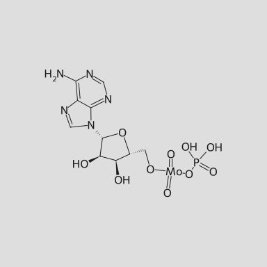 Nc1ncnc2c1ncn2[C@@H]1O[C@H](C[O][Mo](=[O])(=[O])[O]P(=O)(O)O)[C@@H](O)[C@H]1O